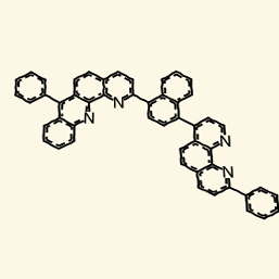 c1ccc(-c2ccc3ccc4c(-c5ccc(-c6ccc7ccc8c(-c9ccccc9)c9ccccc9nc8c7n6)c6ccccc56)ccnc4c3n2)cc1